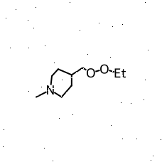 CCOOCC1CCN(C)CC1